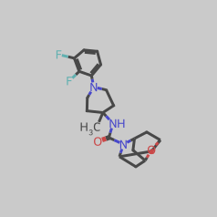 CC1(NC(=O)N2C3CC4CC2CC(C3)O4)CCN(c2cccc(F)c2F)CC1